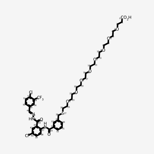 O=C(O)CCOCCOCCOCCOCCOCCOCCOCCOCCSCc1cccc(C(=O)Nc2ccc(Cl)cc2C(=O)NN=Cc2ccc(Cl)c(C(F)(F)F)c2)c1